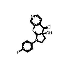 O=C1c2ccncc2N=C2N(c3ccc(F)cc3)CCC12O